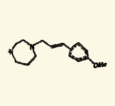 COc1ccc(C=CCN2CCC[N]CC2)cc1